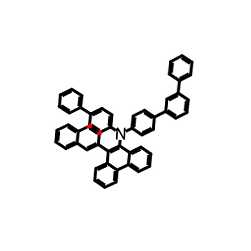 c1ccc(-c2ccc(N(c3ccc(-c4cccc(-c5ccccc5)c4)cc3)c3c(-c4ccc5ccccc5c4)c4ccccc4c4ccccc34)cc2)cc1